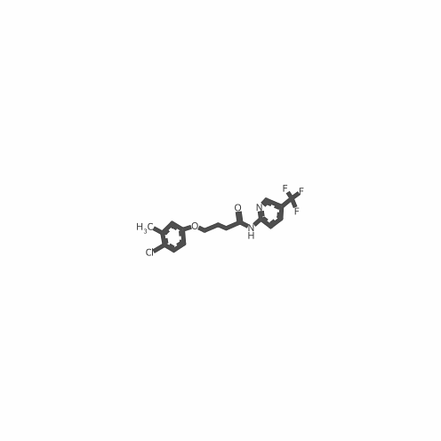 Cc1cc(OCCCC(=O)Nc2ccc(C(F)(F)F)cn2)ccc1Cl